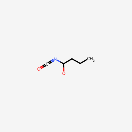 CCCC([O])N=C=O